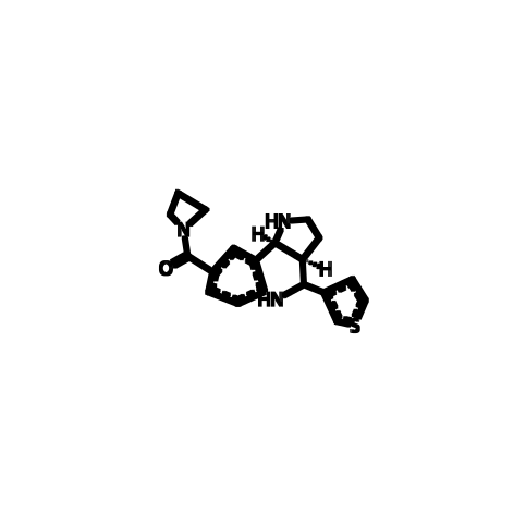 O=C(c1ccc2c(c1)[C@H]1NCC[C@H]1C(c1ccsc1)N2)N1CCC1